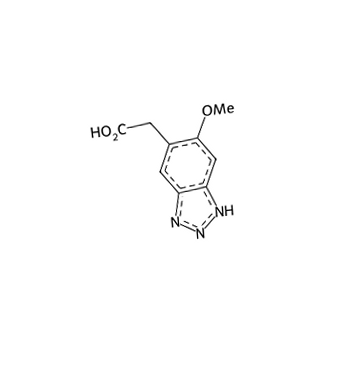 COc1cc2[nH]nnc2cc1CC(=O)O